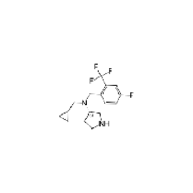 Fc1ccc(CN(CC2CC2)[C@H]2CCNC2)c(C(F)(F)F)c1